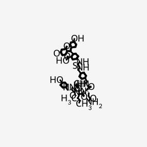 CCC(C)[C@H](NC(=O)[C@H](Cc1ccc(O)cc1)NC(C)=O)C(=O)N[C@@H](CCC(N)=O)C(=O)NCc1ccc(CNC(=S)Nc2ccc(-c3c4ccc(=O)cc-4oc4cc(O)ccc34)c(C(=O)O)c2)cc1